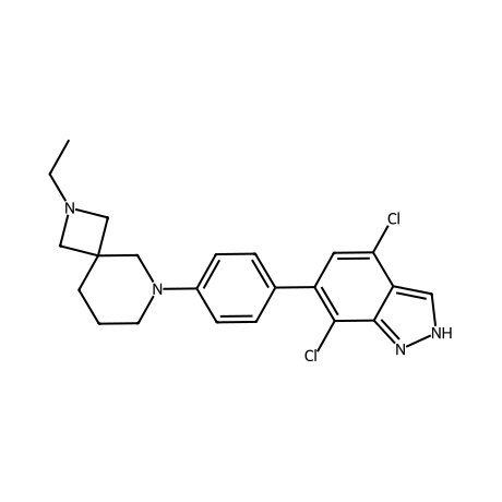 CCN1CC2(CCCN(c3ccc(-c4cc(Cl)c5c[nH]nc5c4Cl)cc3)C2)C1